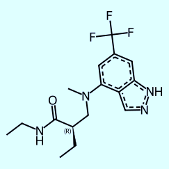 CCNC(=O)[C@H](CC)CN(C)c1cc(C(F)(F)F)cc2[nH]ncc12